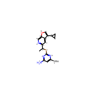 CSc1cc(N)nc(SC(C)c2cc3c(C4CC4)coc3cn2)n1